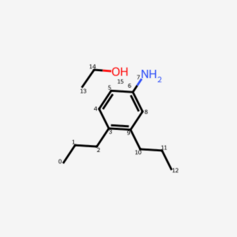 CCCc1ccc(N)cc1CCC.CCO